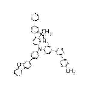 Cc1ccc(-c2cccc(-c3ccc(N(c4ccc(-c5ccc6c(c5)oc5ccccc56)cc4)c4ccc5c(c4)C(C)(C)c4cc(-c6ccccc6)ccc4-5)cc3)c2)cc1